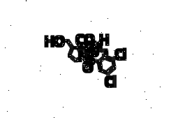 C[C@@]1(C(=O)O)C(CO)CCN1S(=O)(=O)c1cc(Cl)cc(Cl)c1